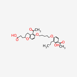 CCCc1c(OCCCCCOc2ccc3c(c2C(C)=O)CCC(CCC(=O)O)O3)ccc(C(C)=O)c1O